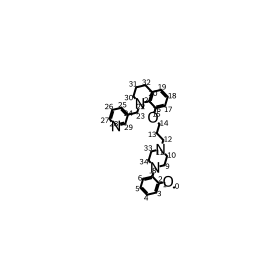 COc1ccccc1N1CCN(CCCOc2cccc3c2N(Cc2cccnc2)CCC3)CC1